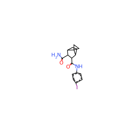 NC(=O)C1C(C(=O)Nc2ccc(I)cc2)C2CCC1C21CC1